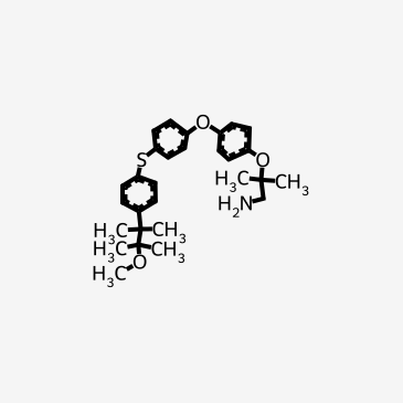 COC(C)(C)C(C)(C)c1ccc(Sc2ccc(Oc3ccc(OC(C)(C)CN)cc3)cc2)cc1